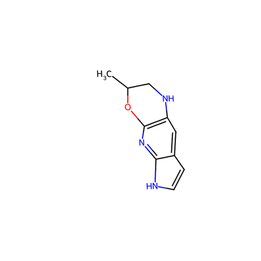 CC1CNc2cc3cc[nH]c3nc2O1